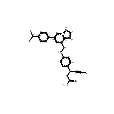 CC#C[C@@H](CC(=O)O)c1ccc(OCc2cc(-c3ccc(C(F)F)cc3)cn3ncnc23)cc1